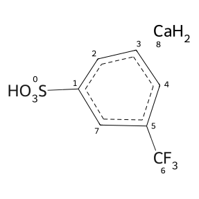 O=S(=O)(O)c1cccc(C(F)(F)F)c1.[CaH2]